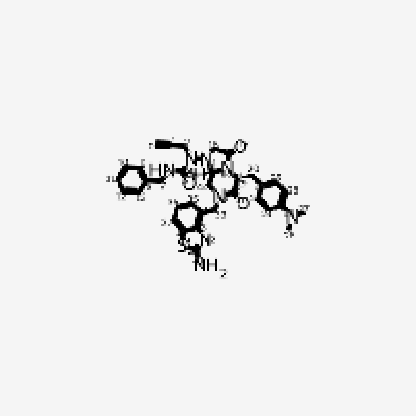 C#CCN(C(=O)NCc1ccccc1)N1CC(=O)N2[C@@H](Cc3ccc(N(C)C)cc3)C(=O)N(Cc3cccc4sc(N)nc34)C[C@@H]21